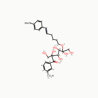 COc1ccc(/C=C/CCCCOC(O)(CO)C(O)C(O)C(O)(CO)C(=O)c2cccc(C(=O)O)c2)cc1